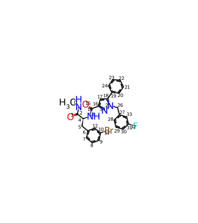 CNC(=O)[C@H](Cc1cccc(Br)c1)NC(=O)c1cc(-c2ccccc2)n(Cc2cccc(F)c2)n1